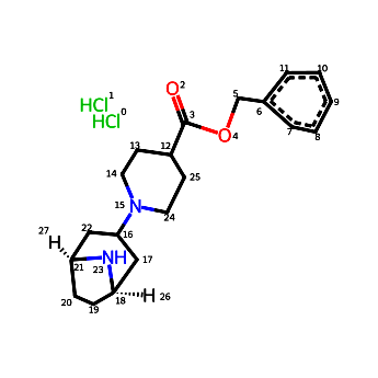 Cl.Cl.O=C(OCc1ccccc1)C1CCN(C2C[C@H]3CC[C@@H](C2)N3)CC1